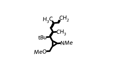 C=C/C(C)=C\C(C)=C(\C1C(COC)C1NC)C(C)(C)C